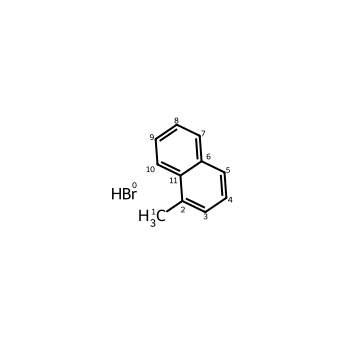 Br.Cc1cccc2ccccc12